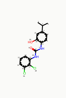 CC(C)c1ccc(NC(=O)Nc2cccc(Cl)c2Cl)c(O)c1